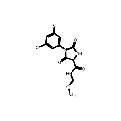 COCNC(=O)C1NC(=O)N(c2cc(Cl)cc(Cl)c2)C1=O